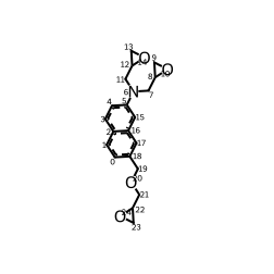 c1cc2ccc(N(CC3CO3)CC3CO3)cc2cc1COCC1CO1